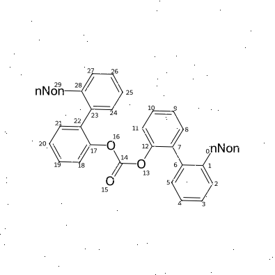 CCCCCCCCCc1ccccc1-c1ccccc1OC(=O)Oc1ccccc1-c1ccccc1CCCCCCCCC